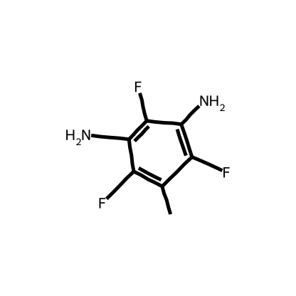 Cc1c(F)c(N)c(F)c(N)c1F